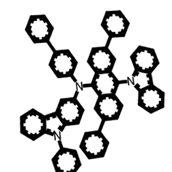 c1ccc(-c2ccc(N(c3ccc4c(c3)c3ccccc3n4-c3ccccc3)c3c4cc(-c5ccccc5)ccc4c(-n4c5ccccc5c5ccccc54)c4cc(-c5ccccc5)ccc34)cc2)cc1